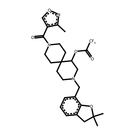 Cc1nocc1C(=O)N1CCC2(CCN(Cc3cccc4c3OC(C)(C)C4)CC2OC(=O)C(F)(F)F)CC1